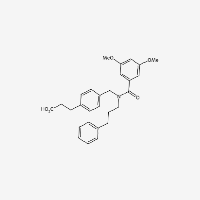 COc1cc(OC)cc(C(=O)N(CCCc2ccccc2)Cc2ccc(CCC(=O)O)cc2)c1